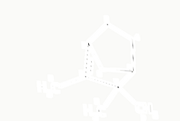 CC1=C2CCC(C2)C1(C)C